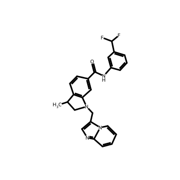 CC1CN(Cc2cnc3ccccn23)c2cc(C(=O)Nc3cccc(C(F)F)c3)ccc21